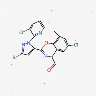 Cc1cc(Cl)cc2c1OC(c1cc(Br)nn1-c1ncccc1Cl)=NC2C=O